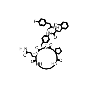 NC(=O)CC[C@H]1NC(=O)[C@@H](Cc2ccc(NC(=O)C(Cc3ccccc3Cl)NC(=O)Cc3ccc(F)cc3)cc2)NC(=O)CC2(CCCC2)CC(=O)NCCCCCNC1=O